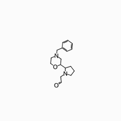 O=CCN1CCCC1C1CN(Cc2ccccc2)CCO1